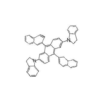 C1=CC2=CC=C(c3c4cc(N5CCc6ccccc65)ccc4c(-c4ccc5ccccc5c4)c4cc(N5CCc6ccccc65)ccc34)CC2C=C1